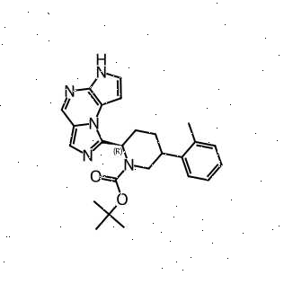 Cc1ccccc1C1CC[C@H](c2ncc3cnc4[nH]ccc4n23)N(C(=O)OC(C)(C)C)C1